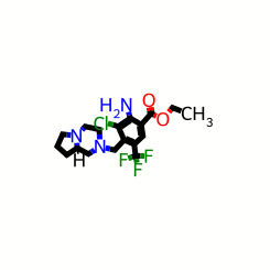 CCOC(=O)c1cc(C(F)(F)F)c(CN2CCN3CCC[C@@H]3C2)c(Cl)c1N